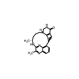 Cc1nc2cccc3c2nc1N[C@H](C)CCC[C@@H]1CNC(=O)c2cc-3[nH]c21